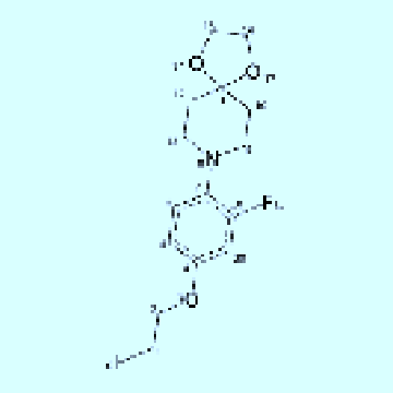 FCCOc1ccc(N2CCC3(CC2)OCCO3)c(F)c1